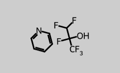 OC(F)(C(F)F)C(F)(F)F.c1ccncc1